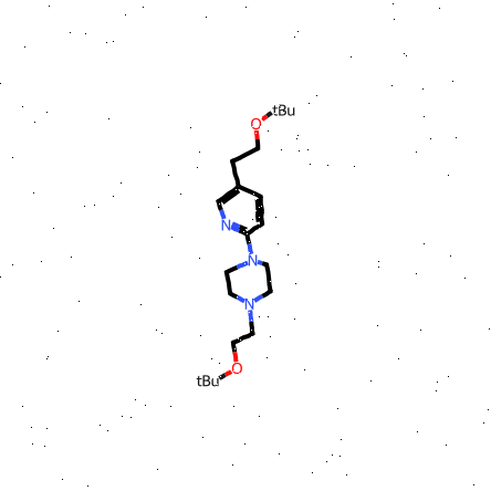 CC(C)(C)OCCc1ccc(N2CCN(CCOC(C)(C)C)CC2)nc1